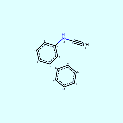 C#CNc1ccccc1.c1ccccc1